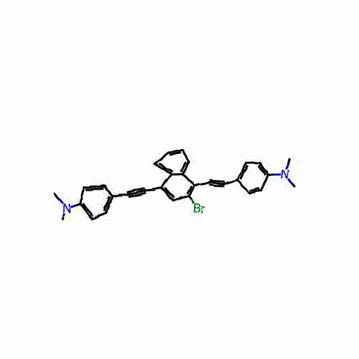 CN(C)c1ccc(C#Cc2cc(Br)c(C#Cc3ccc(N(C)C)cc3)c3ccccc23)cc1